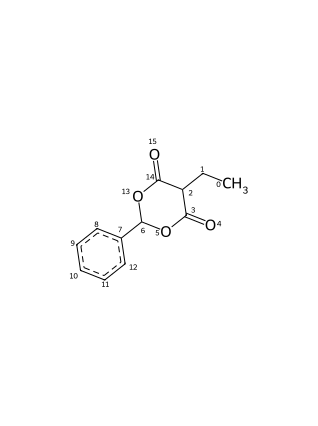 CCC1C(=O)OC(c2ccccc2)OC1=O